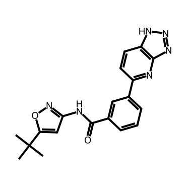 CC(C)(C)c1cc(NC(=O)c2cccc(-c3ccc4[nH]nnc4n3)c2)no1